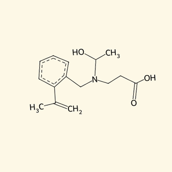 C=C(C)c1ccccc1CN(CCC(=O)O)C(C)O